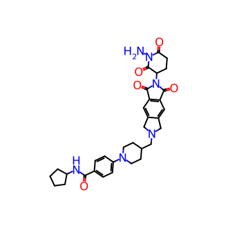 NN1C(=O)CCC(N2C(=O)c3cc4c(cc3C2=O)CN(CC2CCN(c3ccc(C(=O)NC5CCCC5)cc3)CC2)C4)C1=O